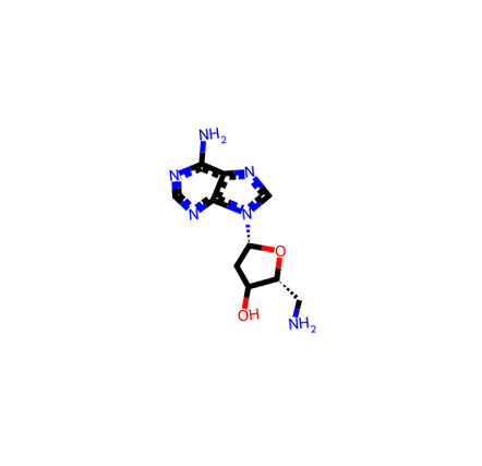 NC[C@H]1O[C@@H](n2cnc3c(N)ncnc32)CC1O